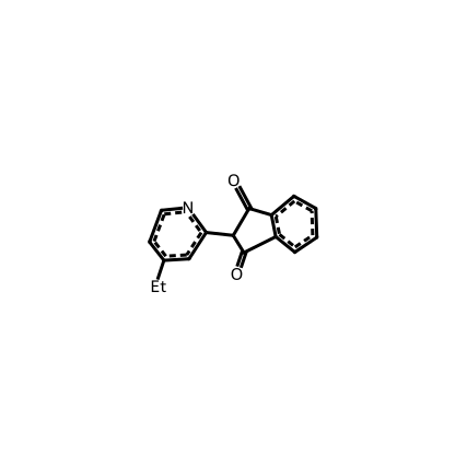 CCc1ccnc(C2C(=O)c3ccccc3C2=O)c1